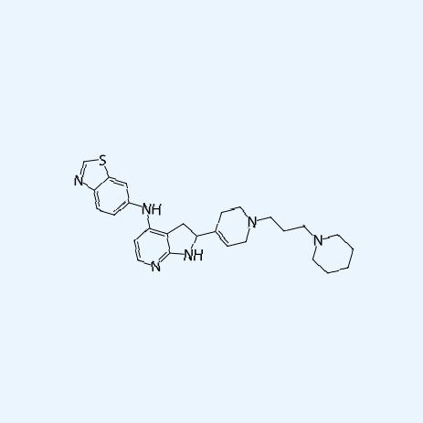 C1=C(C2Cc3c(Nc4ccc5ncsc5c4)ccnc3N2)CCN(CCCN2CCCCC2)C1